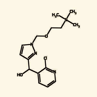 C[Si](C)(C)CCOCn1ccc(C(O)c2cccnc2Cl)n1